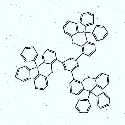 c1ccc([Si]2(c3ccccc3)c3ccccc3Oc3c(-c4cc(-c5cccc6c5Oc5ccccc5[Si]6(c5ccccc5)c5ccccc5)nc(-c5cccc6c5Oc5ccccc5[Si]6(c5ccccc5)c5ccccc5)n4)cccc32)cc1